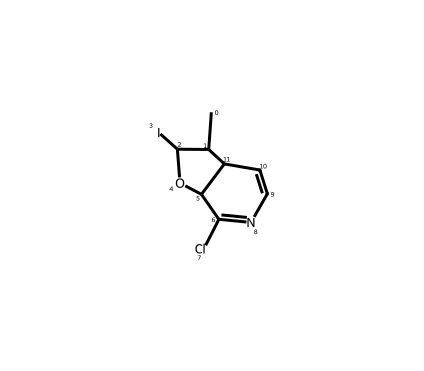 CC1C(I)OC2C(Cl)=NC=CC21